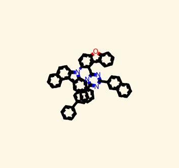 c1ccc(-c2ccc(-c3nc(-c4ccc5ccccc5c4)nc(-c4c(-n5c6cc7ccccc7cc6c6c7ccccc7ccc65)ccc5oc6ccccc6c45)n3)cc2)cc1